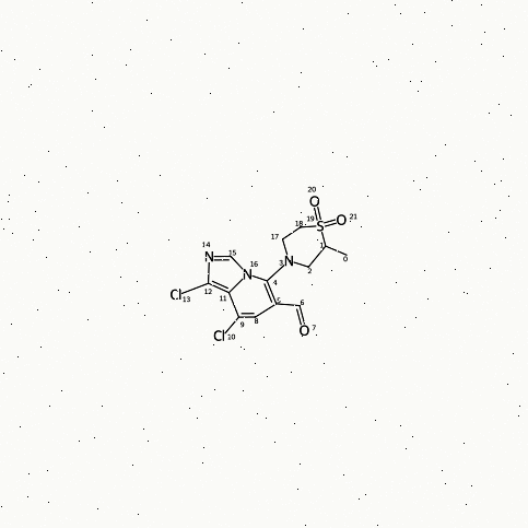 CC1CN(c2c(C=O)cc(Cl)c3c(Cl)ncn23)CCS1(=O)=O